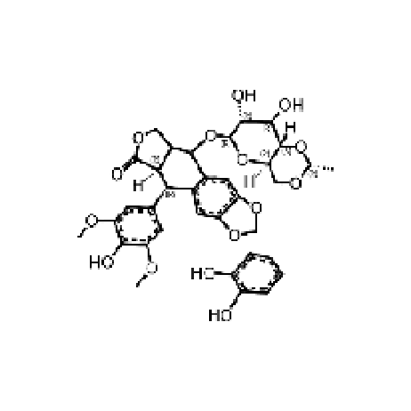 COc1cc([C@@H]2c3cc4c(cc3C(O[C@@H]3O[C@@H]5CO[C@@H](C)O[C@H]5[C@H](O)[C@H]3O)C3COC(=O)[C@@H]32)OCO4)cc(OC)c1O.Oc1ccccc1O